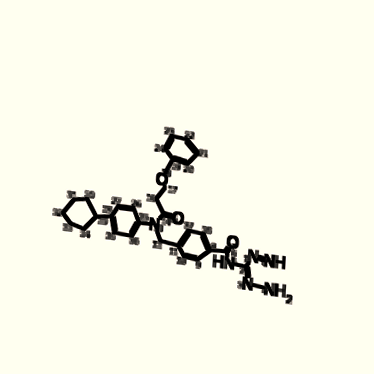 N=N/C(=N\N)NC(=O)c1ccc(CN(C(=O)CCOc2ccccc2)c2ccc(C3CCCCC3)cc2)cc1